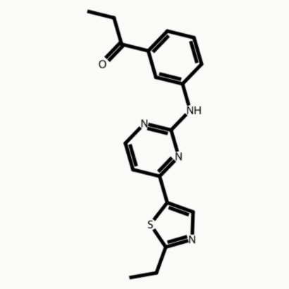 CCC(=O)c1cccc(Nc2nccc(-c3cnc(CC)s3)n2)c1